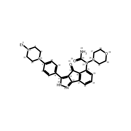 CCN1CCN(c2ccc(-c3[nH]nc4c3C(=O)c3c-4cccc3N(C(N)=O)N3CCOCC3)cc2)CC1